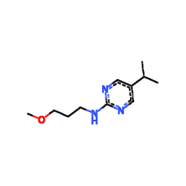 COCCCNc1ncc(C(C)C)cn1